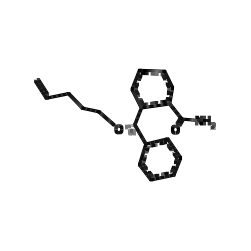 C=CCCCO[C@@H](c1ccccc1)c1ccccc1C(N)=O